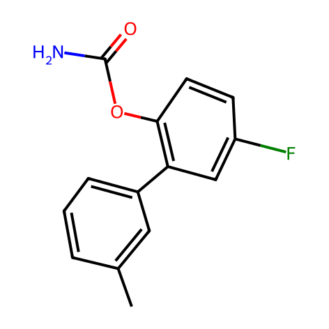 Cc1cccc(-c2cc(F)ccc2OC(N)=O)c1